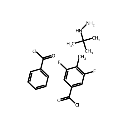 CC(C)(C)NN.Cc1c(F)cc(C(=O)Cl)cc1F.O=C(Cl)c1ccccc1